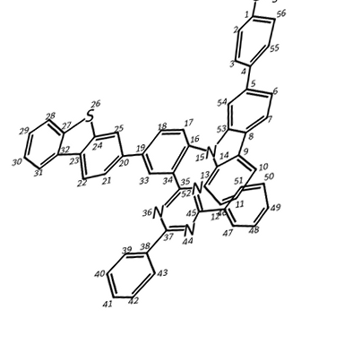 Cc1ccc(-c2ccc3c4ccccc4n(-c4ccc(-c5ccc6c(c5)sc5ccccc56)cc4-c4nc(-c5ccccc5)nc(-c5ccccc5)n4)c3c2)cc1